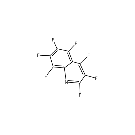 Fc1nc2c(F)c(F)c(F)c(F)c2c(F)c1F